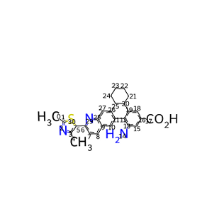 Cc1nc(C)c(-c2ccc3cc(-c4c(N)cc(C(=O)O)cc4C4CCCCC4)ccc3n2)s1